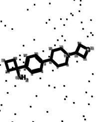 NC1(c2ccc(C3CCN(C4COC4)CC3)cc2)CCC1